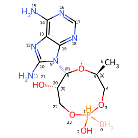 B[PH]1(O)OC[C@H](C)O[C@@H](n2c(N)nc3c(N)ncnc32)[C@@H](O)CO1